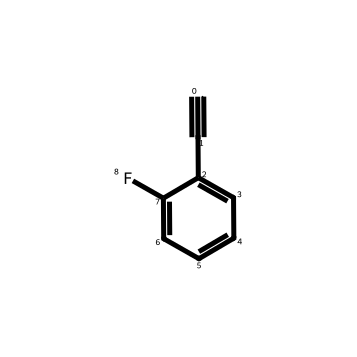 [C]#Cc1ccccc1F